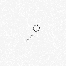 [CH2]COCOc1ccc(C)cc1